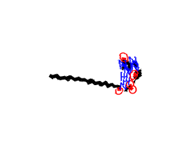 CCC=CCC=CCC=CCC=CCC=CCC=CCCC(=O)NC(C)C(=O)OC[C@@H]1CC[C@H](n2cnc3c(=O)nc[nH]c32)O1